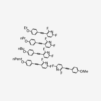 CCCCCOc1ccc(C#Cc2ccc(F)nc2F)cc1.CCCCOc1ccc(C#Cc2ccc(F)nc2F)cc1.CCCOc1ccc(C#Cc2ccc(F)nc2F)cc1.CCOc1ccc(C#Cc2ccc(F)nc2F)cc1.COc1ccc(C#Cc2ccc(F)nc2F)cc1